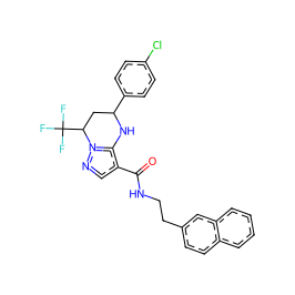 O=C(NCCc1ccc2ccccc2c1)c1cnn2c1NC(c1ccc(Cl)cc1)CC2C(F)(F)F